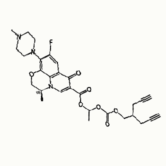 C#CCC(CC#C)COC(=O)OC(C)OC(=O)c1cn2c3c(c(N4CCN(C)CC4)c(F)cc3c1=O)OC[C@@H]2C